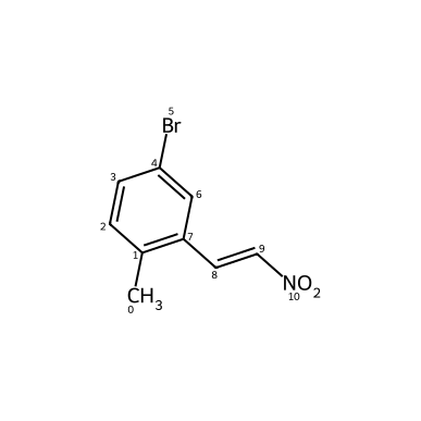 Cc1ccc(Br)cc1/C=C/[N+](=O)[O-]